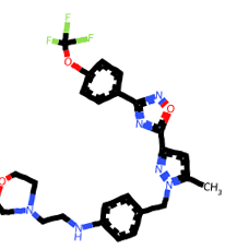 Cc1cc(-c2nc(-c3ccc(OC(F)(F)F)cc3)no2)nn1Cc1ccc(NCCN2CCOCC2)cc1